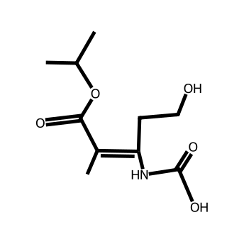 CC(C(=O)OC(C)C)=C(CCO)NC(=O)O